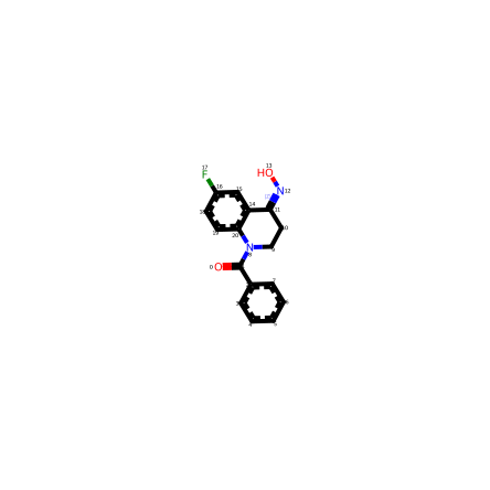 O=C(c1ccccc1)N1CC/C(=N/O)c2cc(F)ccc21